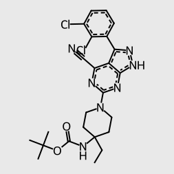 CCC1(NC(=O)OC(C)(C)C)CCN(c2nc(C#N)c3c(-c4cccc(Cl)c4Cl)n[nH]c3n2)CC1